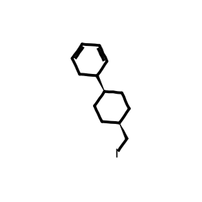 IC[C@H]1CC[C@@H](C2C=CC=CC2)CC1